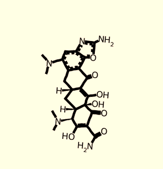 CN(C)c1cc2nc(N)oc2c2c1C[C@H]1C[C@H]3[C@H](N(C)C)C(O)=C(C(N)=O)C(=O)[C@@]3(O)C(O)=C1C2=O